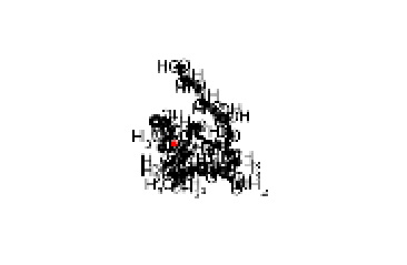 CC[C@H](C)[C@@H]([C@@H](CC(=O)N1CCC[C@H]1[C@H](OC)[C@@H](C)C(=O)N[C@H](C)[C@@H](O)c1ccccc1)OC)N(C)C(=O)[C@@H](NC(=O)[C@H](C(C)C)N(C)C(=O)OCc1ccc(NC(=O)[C@H](CCCNC(N)=O)NC(=O)[C@@H](NC(=O)[C@H](CCC(=O)NC[C@H]2O[C@@H](CC(=O)NCC(=O)NCC(=O)NCC(=O)NCC(=O)O)[C@H](O)[C@@H]2O)NC(=O)CCCCCN2C(=O)C=CC2=O)C(C)C)cc1)C(C)C